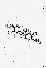 CC(C)(c1ccc(N)c(Cl)c1)c1ccc(N)c(Cl)c1